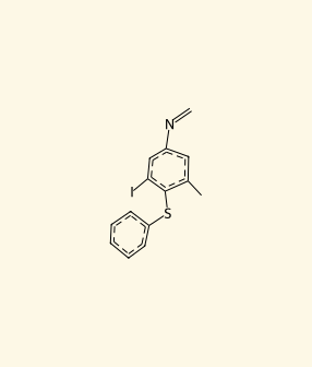 C=Nc1cc(C)c(Sc2ccccc2)c(I)c1